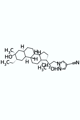 CC[C@H]1C[C@H]2[C@H](CC[C@@H]3[C@@H]2CC[C@@]2(C)[C@H]3CC[C@@H]2[C@](C)(O)Cn2cc(C#N)cn2)C[C@]1(C)O